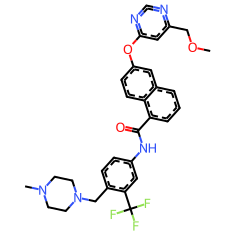 COCc1cc(Oc2ccc3c(C(=O)Nc4ccc(CN5CCN(C)CC5)c(C(F)(F)F)c4)cccc3c2)ncn1